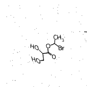 CC(Br)OC(=O)C(O)CO